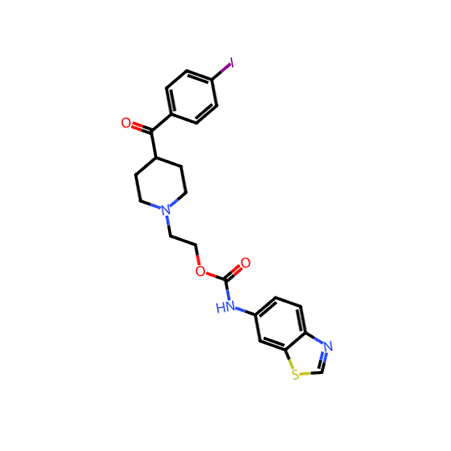 O=C(Nc1ccc2ncsc2c1)OCCN1CCC(C(=O)c2ccc(I)cc2)CC1